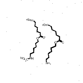 CCCCCCCCCCCCCCCC(=O)OCCCCCCN.CCCCCCCCCCCCCCCC(=O)OCCCCCCNC(=O)O